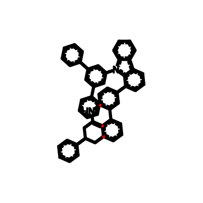 C1=C(Nc2ccc(-c3cccc4c5ccccc5n(-c5cc(-c6ccccc6)cc(-c6ccccc6)c5)c34)cc2-c2ccccc2)CC(c2ccccc2)CC1